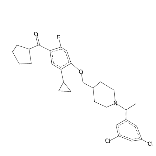 CC(c1cc(Cl)cc(Cl)c1)N1CCC(COc2cc(F)c(C(=O)C3CCCC3)cc2C2CC2)CC1